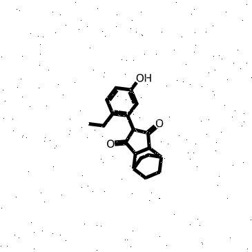 CCc1ccc(O)cc1C1C(=O)C2C3CCC(CC3)C2C1=O